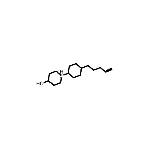 C=CCCCC1CCC([SiH]2CCC(O)CC2)CC1